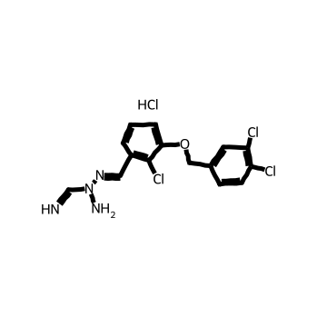 Cl.N=CN(N)/N=C/c1cccc(OCc2ccc(Cl)c(Cl)c2)c1Cl